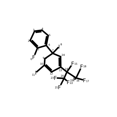 Fc1ccccc1C1(I)[CH]C(I)=CC(C(F)(C(F)(F)F)C(F)(F)F)=C1